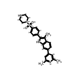 Cc1cc(-c2ccc3c(C)c(-c4ccc(S(=O)(=O)N5CCNCC5)cc4)[nH]c3c2)cc(C)n1